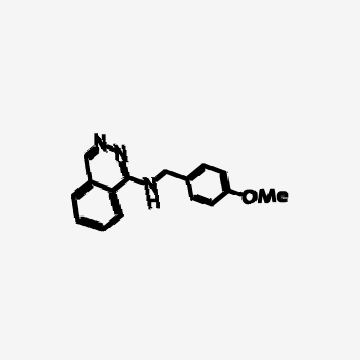 COc1ccc(CNc2nncc3ccccc23)cc1